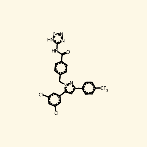 O=C(Nc1nnn[nH]1)c1ccc(Cn2nc(-c3ccc(C(F)(F)F)cc3)cc2-c2cc(Cl)cc(Cl)c2)cc1